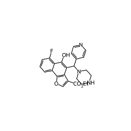 CCOC(=O)c1coc2c1c(C(c1ccncc1)N1CCNCC1)c(O)c1c(F)cccc12